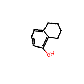 Oc1cccc2c1CCC[CH]2